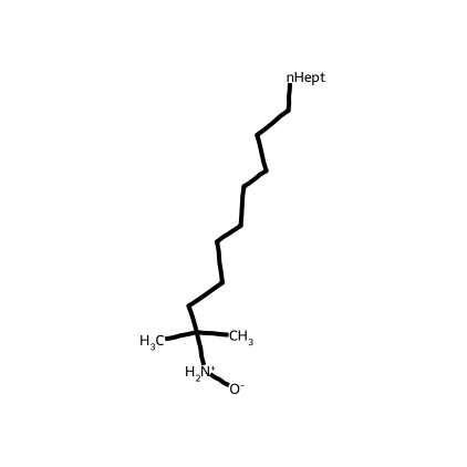 CCCCCCCCCCCCCCCC(C)(C)[NH2+][O-]